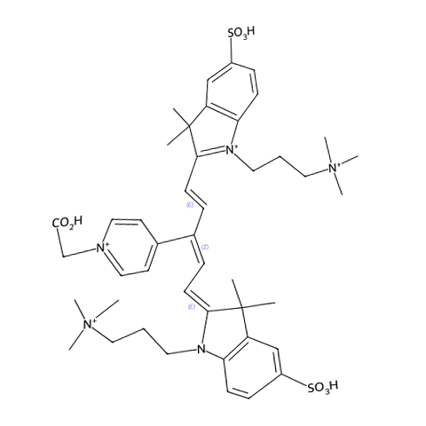 CC1(C)C(/C=C/C(=C/C=C2/N(CCC[N+](C)(C)C)c3ccc(S(=O)(=O)O)cc3C2(C)C)c2cc[n+](CC(=O)O)cc2)=[N+](CCC[N+](C)(C)C)c2ccc(S(=O)(=O)O)cc21